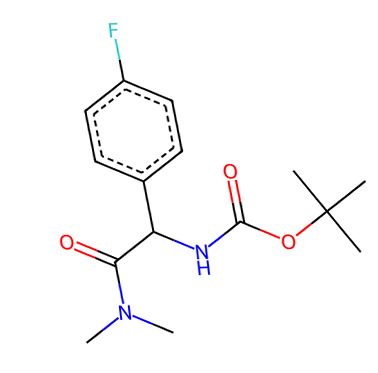 CN(C)C(=O)C(NC(=O)OC(C)(C)C)c1ccc(F)cc1